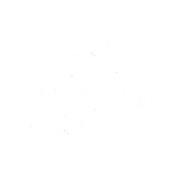 CCCN(C)c1cc(C(=O)O)cc(S(N)(=O)=O)c1Oc1ccccc1